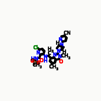 Cc1cc([C@@H](C)Nc2ccc(Cl)nc2C(=O)NS(C)(=O)=O)c2nc(N3C[C@@H]4C[C@H]3CN4c3ccc(C#N)cn3)n(C)c(=O)c2c1